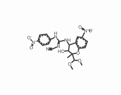 COC(OC)C1(C)Oc2ccc([N+](=O)[O-])cc2C(NC(=NC#N)Nc2ccc([N+](=O)[O-])cc2)C1O